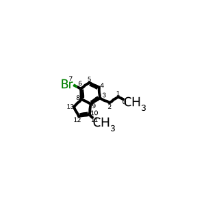 CCCc1ccc(Br)c2c1C(C)=CC2